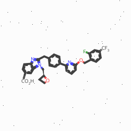 O=C(O)c1ccc2nc(Cc3ccc(-c4cccc(OCc5ccc(C(F)(F)F)cc5F)n4)cc3)n(C[C@@H]3CCO3)c2c1